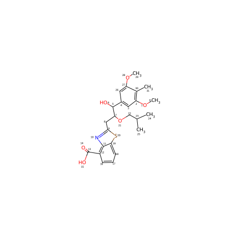 COc1cc(C(O)C(Cc2nc3c(C(=O)O)cccc3s2)OCC(C)C)cc(OC)c1C